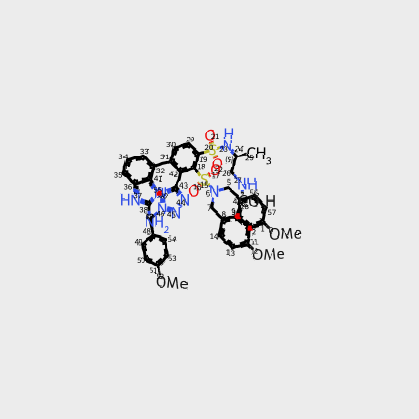 COc1ccc(CN(Cc2ccc(OC)cc2)S(=O)(=O)c2c(S(=O)(=O)N[C@@H](C)CNC(=O)O)ccc(-c3cccc4[nH]c(N)nc34)c2-c2nnn(Cc3ccc(OC)cc3)n2)cc1